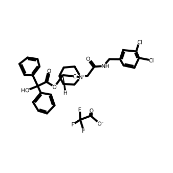 O=C(C[N+]12CCC(CC1)[C@@H](OC(=O)C(O)(c1ccccc1)c1ccccc1)C2)NCc1ccc(Cl)c(Cl)c1.O=C([O-])C(F)(F)F